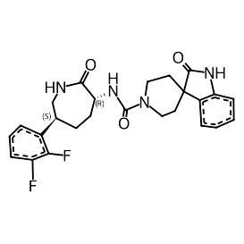 O=C1NC[C@H](c2cccc(F)c2F)CC[C@H]1NC(=O)N1CCC2(CC1)C(=O)Nc1ccccc12